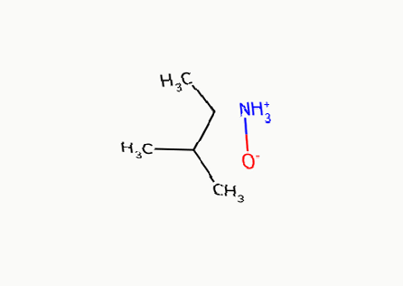 CCC(C)C.[NH3+][O-]